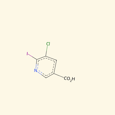 O=C(O)c1cnc(I)c(Cl)c1